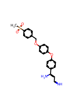 CS(=O)(=O)c1ccc(COc2ccc(Oc3ccc(/C(N)=C/C=N)cc3)cc2)cc1